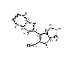 CCCC1=C(c2cc3ccccc3s2)N2CCN=C2S1